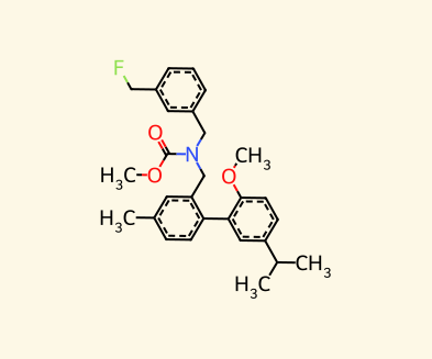 COC(=O)N(Cc1cccc(CF)c1)Cc1cc(C)ccc1-c1cc(C(C)C)ccc1OC